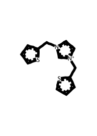 c1csc(Cn2cc[n+](Cc3cccs3)c2)c1